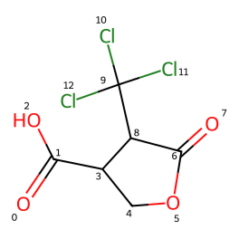 O=C(O)C1COC(=O)C1C(Cl)(Cl)Cl